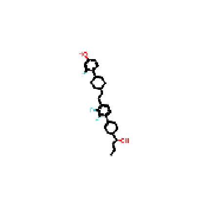 CCCC(O)C1CC=C(c2ccc(CCC3CCC(c4ccc(O)cc4F)CC3)c(F)c2F)CC1